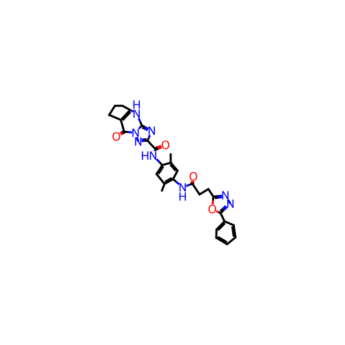 Cc1cc(NC(=O)c2nc3[nH]c4c(c(=O)n3n2)CCC4)c(C)cc1NC(=O)CCc1nnc(-c2ccccc2)o1